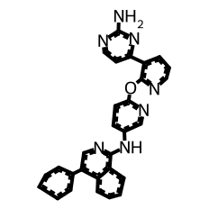 Nc1nccc(-c2cccnc2Oc2ccc(Nc3ncc(-c4ccccc4)c4ccccc34)cn2)n1